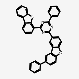 c1ccc(-c2ccc3oc4ccc(-c5nc(-c6ccccc6)nc(-c6cccc7c6sc6ccccc67)n5)cc4c3c2)cc1